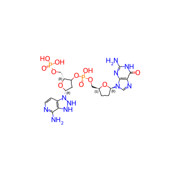 Nc1nc2c(ncn2[C@H]2CC[C@@H](COP(=O)(O)OC3C[C@H](N4NNc5c4ccnc5N)O[C@@H]3COP(=O)(O)O)O2)c(=O)[nH]1